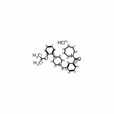 CC(C)Oc1ccccc1N1CCN(Cc2cccc(C(=O)N3CCCCCC3)c2)CC1.Cl